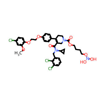 COc1cc(Cl)ccc1OCCOc1ccc(C2=C(C(=O)N(Cc3cccc(Cl)c3Cl)C3CC3)CN(C(=O)OCCCCON(O)O)CC2)cc1